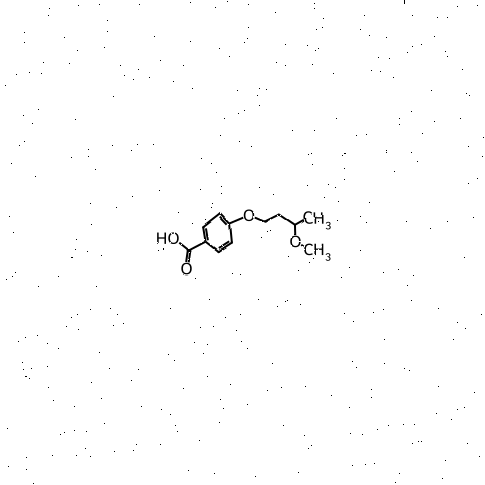 COC(C)CCOc1ccc(C(=O)O)cc1